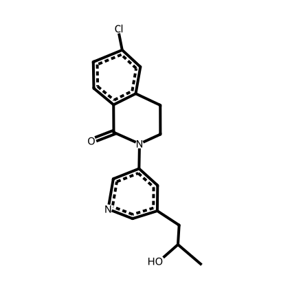 CC(O)Cc1cncc(N2CCc3cc(Cl)ccc3C2=O)c1